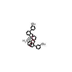 CC(C)(C)c1cccc(-c2cccc3c2C=C[CH]3[Hf]([CH3])([CH3])(=[SiH2])([c]2ccccc2)([c]2ccccc2)[CH]2C=Cc3c(-c4cccc(C(C)(C)C)c4)cccc32)c1